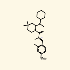 C=C(C1=C(N(C)C2CCCCC2)CC(C)(C)CC1)/C(C)=C/c1ccc(NC)cc1C